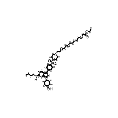 CCCCNc1ncc2c(-c3ccc(S(=O)(=O)N4CCN(CCOCCOCCOCCOCC(=O)OCC)CC4)cc3)nn([C@H]3CC[C@H](O)CC3)c2n1